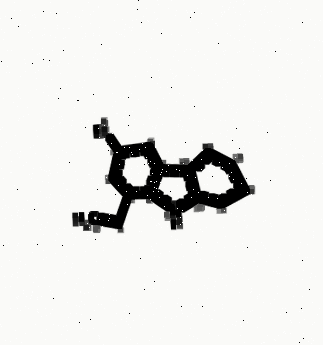 C=Cc1cc(CC)cc2c1[nH]c1ccccc12